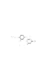 COc1ccc(Cc2nc(C(=O)O)cc(=O)[nH]2)cc1F